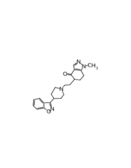 Cn1ncc2c1CCC(CCN1CCC(c3noc4ccccc34)CC1)C2=O